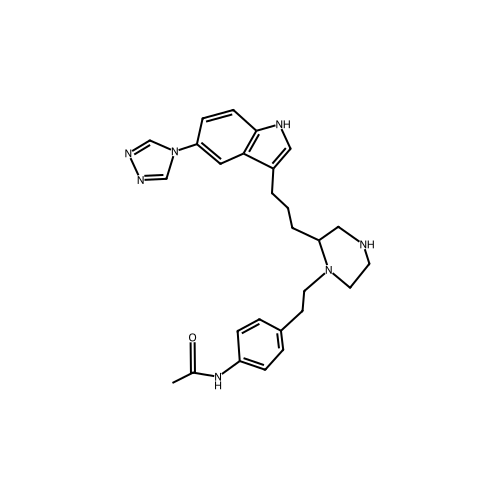 CC(=O)Nc1ccc(CCN2CCNCC2CCCc2c[nH]c3ccc(-n4cnnc4)cc23)cc1